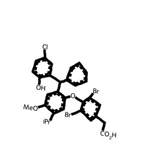 COc1cc(C(c2ccccc2)c2cc(Cl)ccc2O)c(Oc2c(Br)cc(CC(=O)O)cc2Br)cc1C(C)C